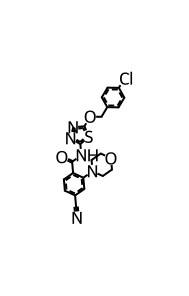 N#Cc1ccc(C(=O)Nc2nnc(OCc3ccc(Cl)cc3)s2)c(N2CCOCC2)c1